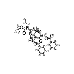 C=CCN(C(=O)OC(C)(C)C)C1=N[C@@H]2[C@H](O)[C@H](OC(=O)c3ccccc3)[C@H](COC(=O)c3ccccc3)O[C@@H]2S1